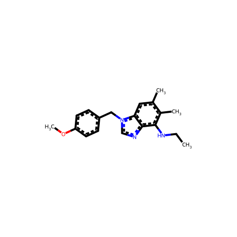 CCNc1c(C)c(C)cc2c1ncn2Cc1ccc(OC)cc1